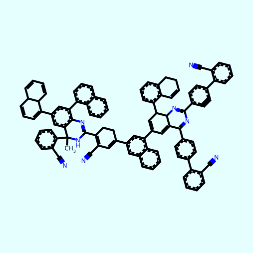 CC1(c2ccccc2C#N)NC(C2=C(C#N)C=C(c3cc(C4=CC(c5cccc6c5C=CCC6)C5N=C(c6c#cc(-c7ccccc7C#N)cc6)N=C(c6ccc(-c7ccccc7C#N)cc6)C5=C4)c4ccccc4c3)CC2)=Nc2c(-c3cccc4ccccc34)cc(C3=CC=CC4C=CC=CC34)cc21